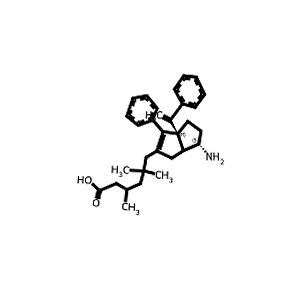 C=C(c1ccccc1)[C@@]12CC[C@H](N)C1CC(CC(C)(C)CC(C)CC(=O)O)=C2c1ccccc1